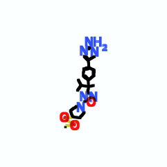 CC(C)C(C)(c1ccc(-c2cnc(N)nc2)cc1)c1noc(N2CCC(S(C)(=O)=O)CC2)n1